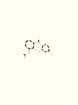 CC(=O)Cc1cccc(C(=O)c2ccc(Br)cc2)c1N